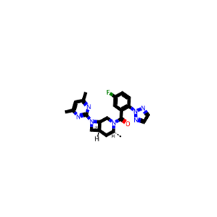 Cc1cc(C)nc(N2C[C@@H]3C[C@@H](C)N(C(=O)c4cc(F)ccc4-n4nccn4)CC32)n1